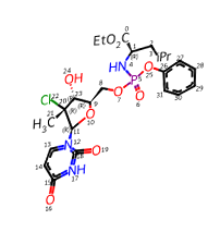 CCOC(=O)[C@@H](CC(C)C)NP(=O)(OC[C@H]1O[C@@H](n2ccc(=O)[nH]c2=O)[C@](C)(Cl)[C@@H]1O)Oc1ccccc1